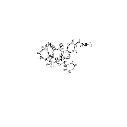 NCc1ccc(C(NC(=O)C(OC(=O)C(F)(F)F)C2CCCCC2)C(=O)c2nc3ccccc3s2)cc1